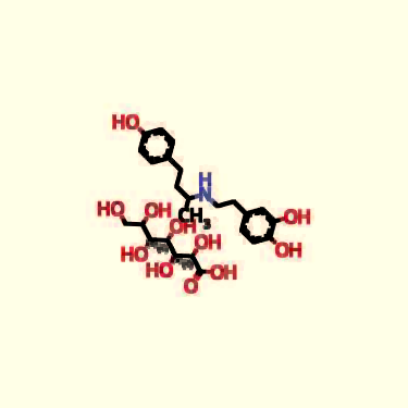 CC(CCc1ccc(O)cc1)NCCc1ccc(O)c(O)c1.O=C(O)[C@H](O)[C@@H](O)[C@H](O)[C@H](O)C(O)CO